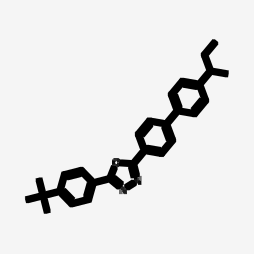 CCC(C)c1ccc(-c2ccc(-c3nnc(-c4ccc(C(C)(C)C)cc4)o3)cc2)cc1